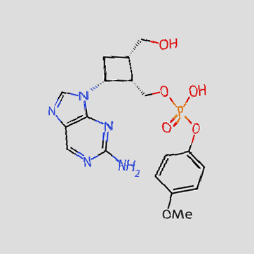 COc1ccc(OP(=O)(O)OC[C@H]2[C@@H](CO)C[C@H]2n2cnc3cnc(N)nc32)cc1